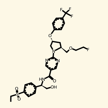 CCS(=O)(=O)c1ccc([C@H](CO)NC(=O)c2cnc(N3C[C@H](Oc4ccc(C(F)(F)F)cc4)C[C@H]3COCCF)nc2)cc1